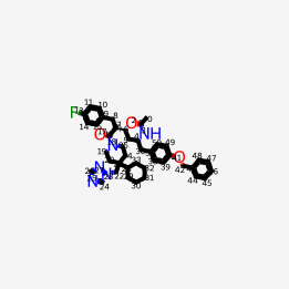 CC(=O)NC(CC[C@H](Cc1ccc(F)cc1)C(=O)N1CCC(Cn2cncn2)(C2CCCCC2)CC1)Cc1ccc(OCc2ccccc2)cc1